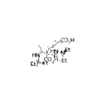 CCN(CC)NC(C)C(CCCC(=O)O)(C(=O)O)C(C)NN(CC)CC